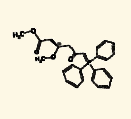 COC(=O)C[C@@H](CC(=O)C=P(c1ccccc1)(c1ccccc1)c1ccccc1)OC